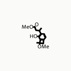 COC(=O)CC(C)c1ccc2c(c1O)C(C)(OC)C2